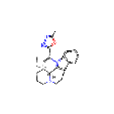 CC[C@@]12C=C(c3nnc(C)o3)n3c4c(c5ccccc53)CCN(CCC1)[C@H]42